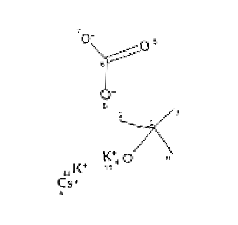 CC(C)(C)[O-].O=C([O-])[O-].[Cs+].[K+].[K+]